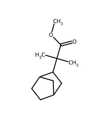 COC(=O)C(C)(C)C1CC2CCC1C2